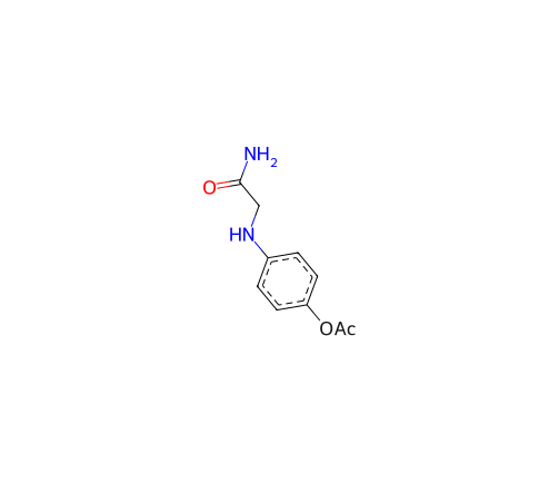 CC(=O)Oc1ccc(NCC(N)=O)cc1